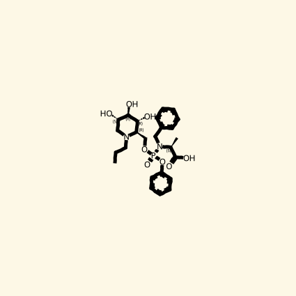 CCCN1C[C@H](O)[C@@H](O)[C@H](O)[C@H]1COP(=O)(Oc1ccccc1)N(Cc1ccccc1)[C@@H](C)C(=O)O